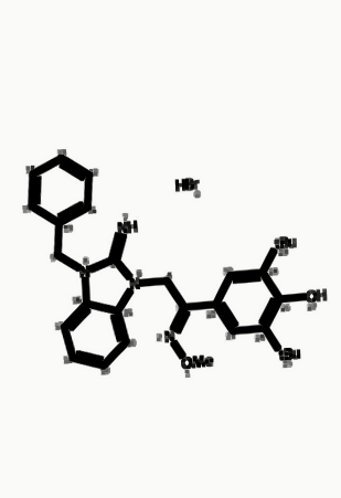 Br.CON=C(Cn1c(=N)n(Cc2ccccc2)c2ccccc21)c1cc(C(C)(C)C)c(O)c(C(C)(C)C)c1